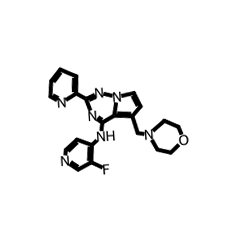 Fc1cnccc1Nc1nc(-c2ccccn2)nn2ccc(CN3CCOCC3)c12